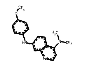 CN(C)c1ccnc2cc(Nc3ccc(OC(F)(F)F)cc3)ccc12